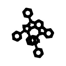 c1ccc(-c2cccc(-n3c4ccccc4c4ccc5c(c6c(nc(-c7ccccc7)n6-c6ccccc6)n5-c5ccccc5)c43)n2)cc1